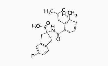 CC(C)=Cc1c(C)cccc1C(=O)NC1(C(=O)O)Cc2ccc(F)cc2C1